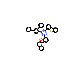 c1ccc(-c2ccc(-c3nc(-c4cccc5c4oc4ccc6ccccc6c45)nc(-c4cccc5c4sc4ccccc45)n3)c(-c3ccccc3)c2)cc1